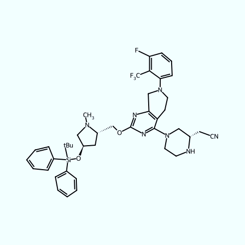 CN1C[C@H](O[Si](c2ccccc2)(c2ccccc2)C(C)(C)C)C[C@H]1COc1nc2c(c(N3CCN[C@@H](CC#N)C3)n1)CCN(c1cccc(F)c1C(F)(F)F)C2